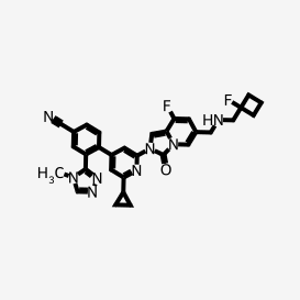 Cn1cnnc1-c1cc(C#N)ccc1-c1cc(C2CC2)nc(-n2cc3c(F)cc(CNCC4(F)CCC4)cn3c2=O)c1